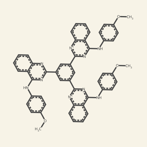 COc1ccc(Nc2nc(-c3cc(-c4nc(Nc5ccc(OC)cc5)c5ccccc5n4)cc(-c4nc(Nc5ccc(OC)cc5)c5ccccc5n4)c3)nc3ccccc23)cc1